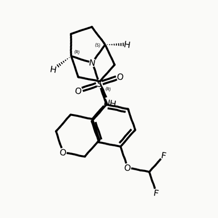 O=S(=O)(c1ccc(OC(F)F)cc1)N1[C@@H]2CC[C@H]1C[C@@H](NC1CCOCC1)C2